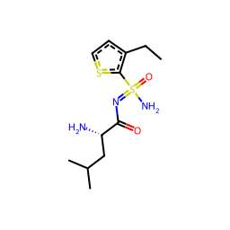 CCc1ccsc1S(N)(=O)=NC(=O)[C@@H](N)CC(C)C